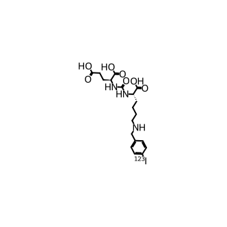 O=C(O)CC[C@H](NC(=O)N[C@@H](CCCCNCc1ccc([123I])cc1)C(=O)O)C(=O)O